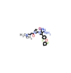 CN(C)C/C=C/C(=O)N1CCC[C@@H](n2cc(-c3ccc(Oc4c(F)cccc4F)cc3)c3c(N)n[nH]c(=O)c32)C1